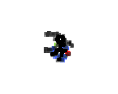 CCCCCc1ccc([C@]2(C)CC(c3ccn(CC)n3)=C(c3nnc[nH]3)C(=O)N2)c(F)c1